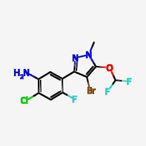 Cn1nc(-c2cc(N)c(Cl)cc2F)c(Br)c1OC(F)F